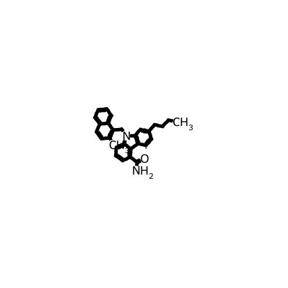 CCCCc1c[c]c2c3c(C(N)=O)cccc3n(Cc3c(C)ccc4ccccc34)c2c1